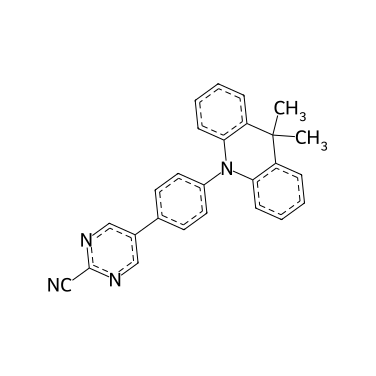 CC1(C)c2ccccc2N(c2ccc(-c3cnc(C#N)nc3)cc2)c2ccccc21